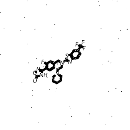 O=c1[nH]c(-c2ccc(CN(CCN3CCCCC3)c3nc4ccc(C(F)(F)F)cc4s3)cc2F)no1